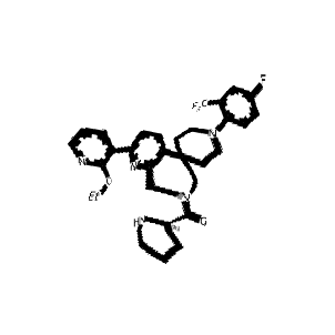 CCOc1ncccc1-c1ccc2c(n1)CN(C(=O)[C@H]1CCCN1)CC21CCN(c2ccc(F)cc2C(F)(F)F)CC1